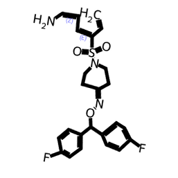 C=C/C(=C\C=C/N)S(=O)(=O)N1CCC(=NOC(c2ccc(F)cc2)c2ccc(F)cc2)CC1